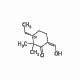 CC[C@H]1CCC(=CO)C(=O)C1(C)C